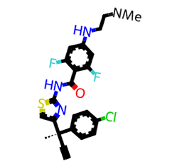 C#C[C@](C)(c1ccc(Cl)cc1)c1csc(NC(=O)c2c(F)cc(NCCNC)cc2F)n1